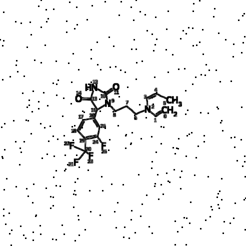 C=CN(/C=C\C)CCCN1C(=O)NC(=O)C1c1ccc(C(F)(F)F)c(F)c1